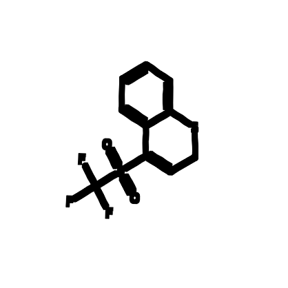 O=S(=O)(C1=CCSc2ccccc21)C(F)(F)F